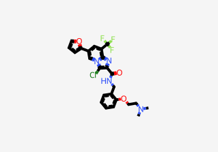 CN(C)CCOc1ccccc1CNC(=O)c1nc2c(C(F)(F)F)cc(-c3ccco3)cn2c1Cl